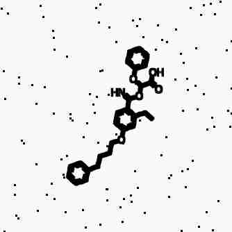 CCc1cc(OCCCCc2ccccc2)ccc1C(=N)OC(Oc1ccccc1)C(=O)O